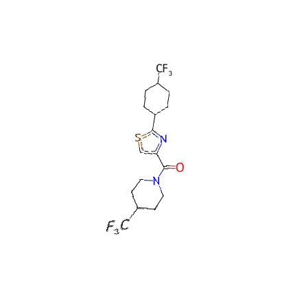 O=C(c1csc(C2CCC(C(F)(F)F)CC2)n1)N1CCC(C(F)(F)F)CC1